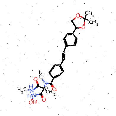 CNC(=O)[C@@](C)(C(=O)NO)N(C)C(=O)c1ccc(C#Cc2ccc(C3COC(C)(C)O3)cc2)cc1